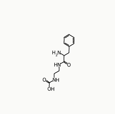 NC(Cc1ccccc1)C(=O)NCCNC(=O)O